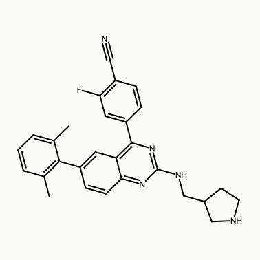 Cc1cccc(C)c1-c1ccc2nc(NCC3CCNC3)nc(-c3ccc(C#N)c(F)c3)c2c1